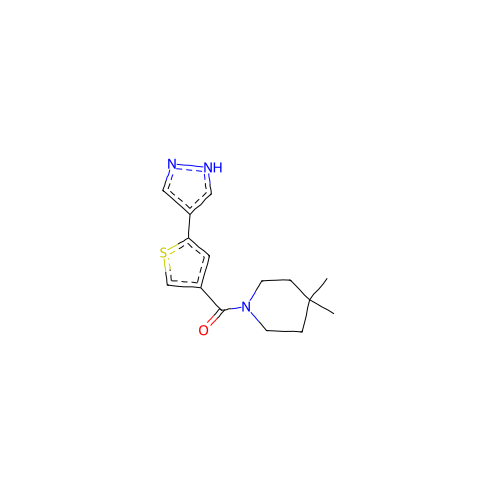 CC1(C)CCN(C(=O)c2csc(-c3cn[nH]c3)c2)CC1